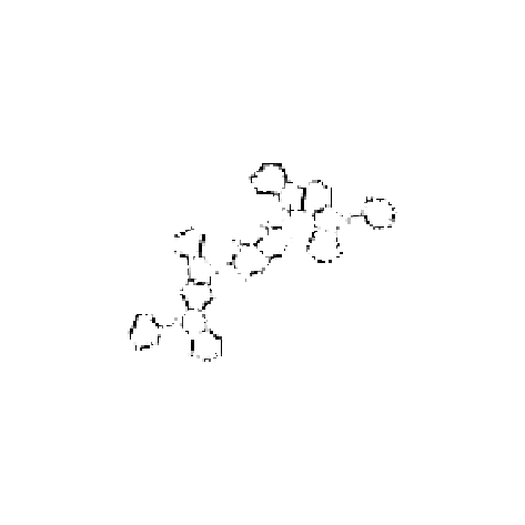 c1ccc(-n2c3ccccc3c3cc4c(cc32)c2ccccc2n4-c2ncc3cnc(-n4c5ccccc5c5ccc6c(c7ccccc7n6-c6ccccc6)c54)nc3n2)cc1